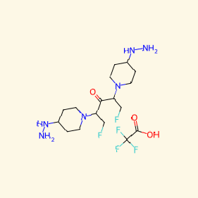 NNC1CCN(C(CF)C(=O)C(CF)N2CCC(NN)CC2)CC1.O=C(O)C(F)(F)F